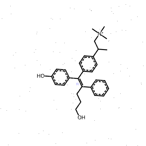 CC(C[N+](C)(C)C)c1ccc(/C(=C(/CCCO)c2ccccc2)c2ccc(O)cc2)cc1